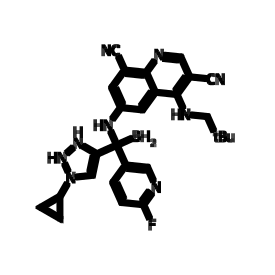 BC(Nc1cc(C#N)c2ncc(C#N)c(NCC(C)(C)C)c2c1)(C1=CN(C2CC2)NN1)c1ccc(F)nc1